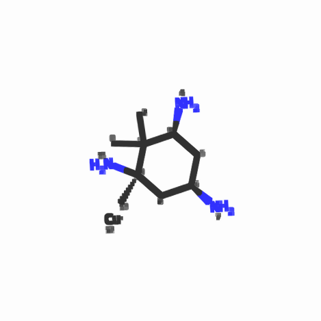 CC1(C)[C@@H](N)C[C@@H](N)C[C@@]1(C)N.[Cu]